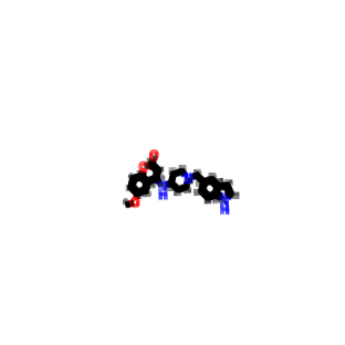 COc1ccc2oc(=O)cc(NC3CCN(Cc4ccc5[nH]ccc5c4)CC3)c2c1